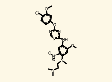 COc1cc(Oc2ncnc(Nc3cc([N+](=O)[O-])c(N(C)CCN(C)C)cc3OC)n2)ccc1Cl